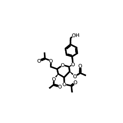 CC(=O)OCC1O[C@@H](Oc2ccc(CO)cc2)[C@@H](OC(C)=O)C(OC(C)=O)[C@H]1OC(C)=O